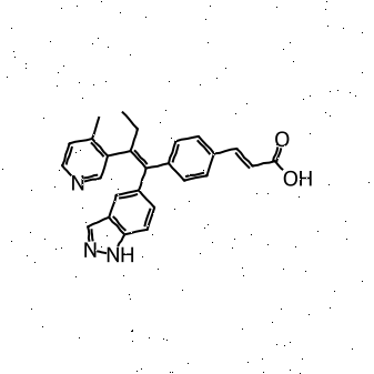 CCC(=C(c1ccc(C=CC(=O)O)cc1)c1ccc2[nH]ncc2c1)c1cnccc1C